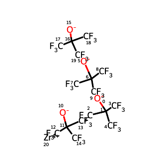 [O-]C(C(F)(F)F)(C(F)(F)F)C(F)(F)F.[O-]C(C(F)(F)F)(C(F)(F)F)C(F)(F)F.[O-]C(C(F)(F)F)(C(F)(F)F)C(F)(F)F.[O-]C(C(F)(F)F)(C(F)(F)F)C(F)(F)F.[Zr+4]